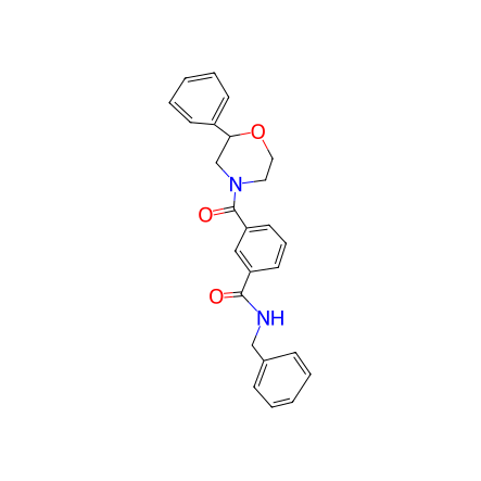 O=C(NCc1ccccc1)c1cccc(C(=O)N2CCOC(c3ccccc3)C2)c1